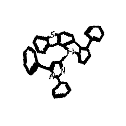 c1ccc(-c2cc(-n3c4cccc(-c5ccccc5)c4c4ccc5sc6ccccc6c5c43)nc(-c3ccccc3)n2)cc1